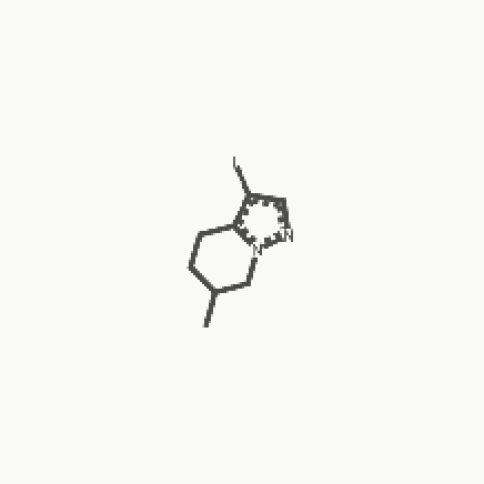 CC1CCc2c(I)cnn2C1